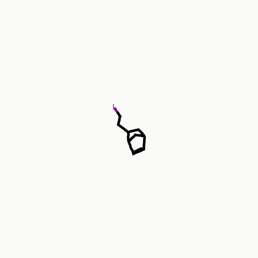 ICCC1CC2C=CC1C2